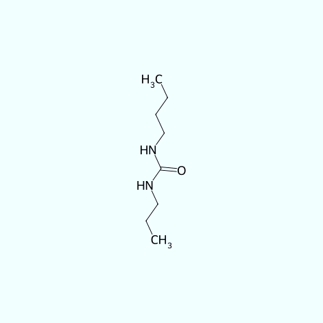 CCCCNC(=O)NCCC